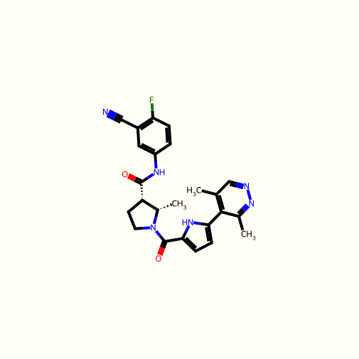 Cc1cnnc(C)c1-c1ccc(C(=O)N2CC[C@H](C(=O)Nc3ccc(F)c(C#N)c3)[C@@H]2C)[nH]1